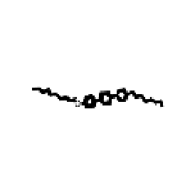 CCCCCCCCCCOc1ccc(-c2ccc(C3CCC(CCCCCCCC)CC3)cc2)cc1